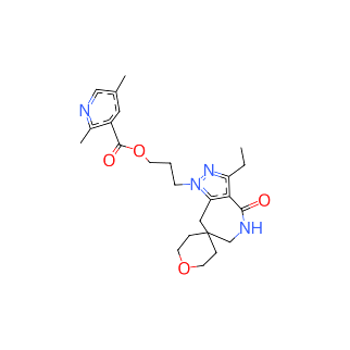 CCc1nn(CCCOC(=O)c2cc(C)cnc2C)c2c1C(=O)NCC1(CCOCC1)C2